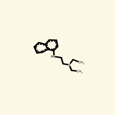 CCN(CC)CCNc1cccc2ccccc12